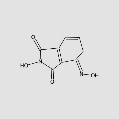 O=C1C2=C(C(=O)N1O)C(=NO)CC=C2